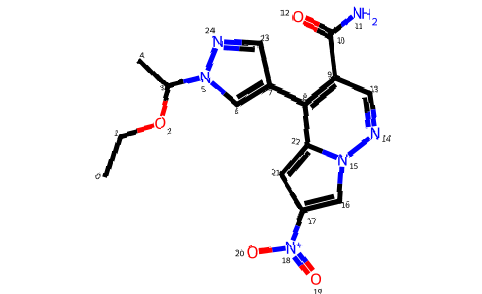 CCOC(C)n1cc(-c2c(C(N)=O)cnn3cc([N+](=O)[O-])cc23)cn1